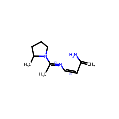 C=C(N)/C=C\N=C(/C)N1CCCC1C